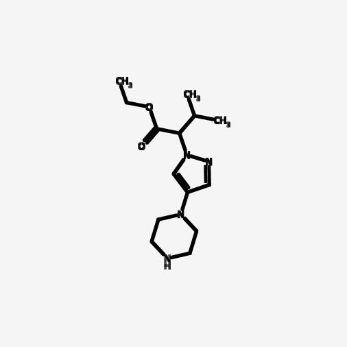 CCOC(=O)C(C(C)C)n1cc(N2CCNCC2)cn1